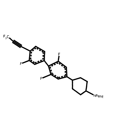 CCCCCC1CCC(c2cc(F)c(-c3ccc(C#CC(F)(F)F)c(F)c3)c(F)c2)CC1